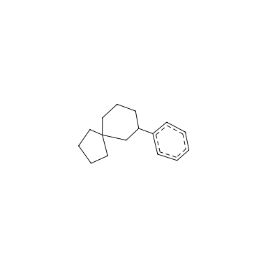 c1ccc(C2CCCC3(CCCC3)C2)cc1